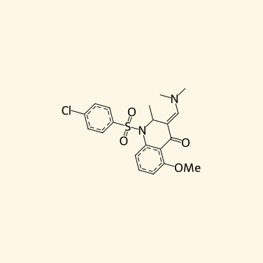 COc1cccc2c1C(=O)C(=CN(C)C)C(C)N2S(=O)(=O)c1ccc(Cl)cc1